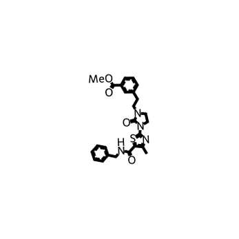 COC(=O)c1cccc(CCN2CCN(c3nc(C)c(C(=O)NCc4ccccc4)s3)C2=O)c1